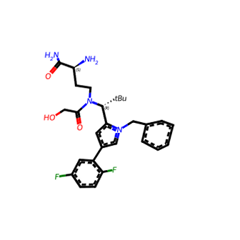 CC(C)(C)[C@H](c1cc(-c2cc(F)ccc2F)cn1Cc1ccccc1)N(CC[C@H](N)C(N)=O)C(=O)CO